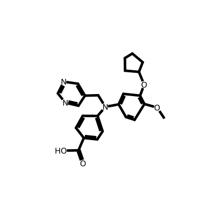 COc1ccc(N(Cc2cncnc2)c2ccc(C(=O)O)cc2)cc1OC1CCCC1